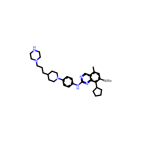 CNc1cc(C)c2cnc(Nc3ccc(N4CCC(CCCN5CCNCC5)CC4)cc3)nc2c1C1CCCC1